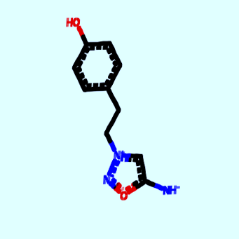 [NH-]c1c[n+](CCc2ccc(O)cc2)no1